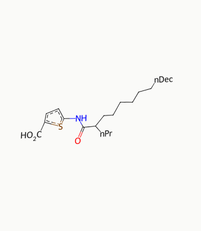 CCCCCCCCCCCCCCCCC(CCC)C(=O)Nc1ccc(C(=O)O)s1